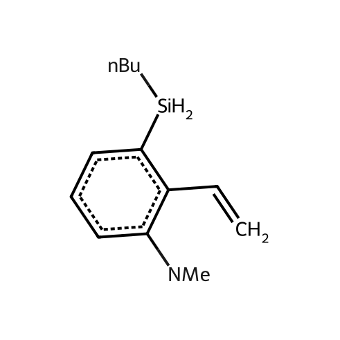 C=Cc1c(NC)cccc1[SiH2]CCCC